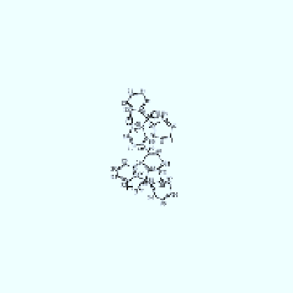 CC1(c2ccccc2)c2ccccc2Oc2ccc(-c3ccc4c(c3)C(C)(c3ccccc3)c3ccccc3-4)cc21